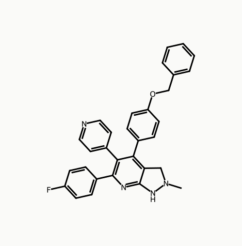 CN1Cc2c(nc(-c3ccc(F)cc3)c(-c3ccncc3)c2-c2ccc(OCc3ccccc3)cc2)N1